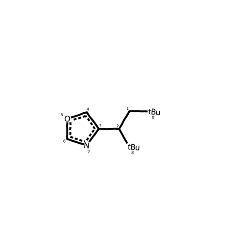 CC(C)(C)CC(c1cocn1)C(C)(C)C